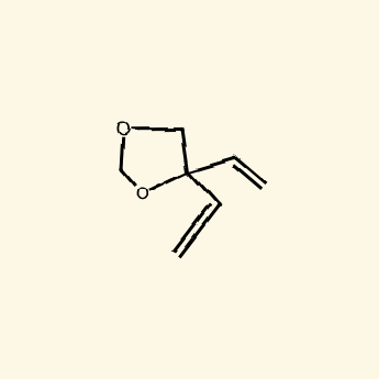 C=CC1(C=C)COCO1